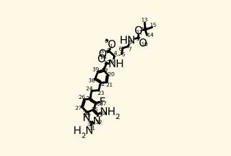 COC(=O)[C@H](CCCNC(=O)OC(C)(C)C)NC(=O)c1ccc(CCc2ccc3nc(N)nc(N)c3c2F)cc1